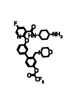 N[C@H]1CC[C@H](NC(=O)c2cc(F)cnc2Oc2cccc(-c3ccc(OC(=O)C(F)(F)F)cc3CN3CCOCC3)c2)CC1